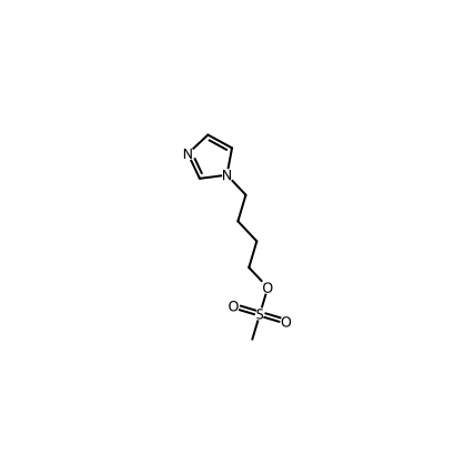 CS(=O)(=O)OCCCCn1ccnc1